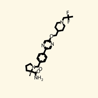 CC(F)(F)CN1CCC(COc2cnc(-c3ccc(C(=O)N4CCC[C@@]4(C)C(N)=O)cc3)cn2)CC1